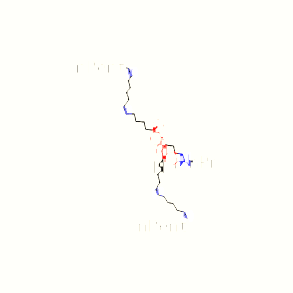 CCCCC/C=C\CCCC/C=C\CCCCC(=O)OC[C@H](CCCN(C)CCC)OC(=O)CCCC/C=C\CCCC/C=C\CCCCC